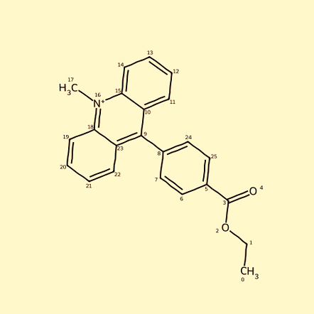 CCOC(=O)c1ccc(-c2c3ccccc3[n+](C)c3ccccc23)cc1